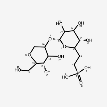 O=P(O)(O)CCC1O[C@H](OC2COC(CO)[C@@H](O)C2O)C(O)C(O)[C@@H]1O